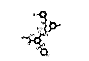 CCCN(CCC)C(=O)c1cc(C(=O)N[C@@H](Cc2cc(F)cc(F)c2)[C@H](O)CNCc2cccc(CC)c2)cc(S(=O)(=O)N2CCNCC2)c1